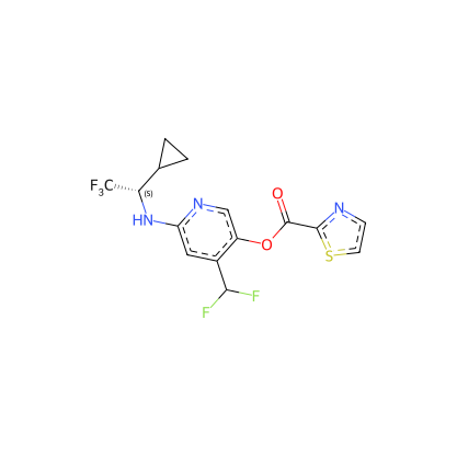 O=C(Oc1cnc(N[C@@H](C2CC2)C(F)(F)F)cc1C(F)F)c1nccs1